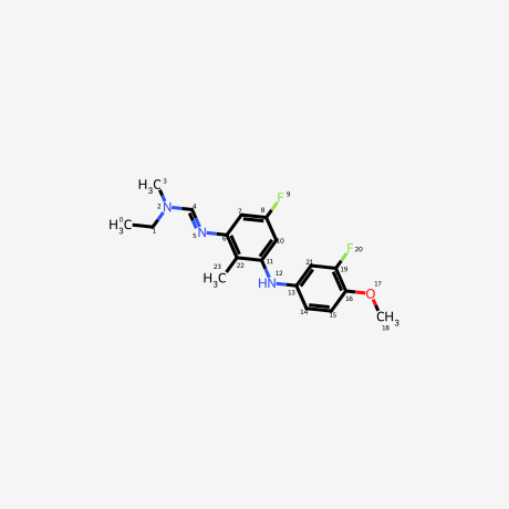 CCN(C)C=Nc1cc(F)cc(Nc2ccc(OC)c(F)c2)c1C